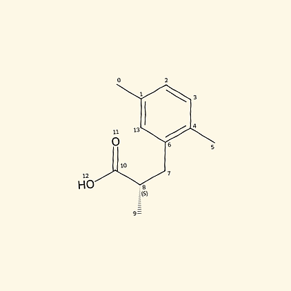 Cc1ccc(C)c(C[C@H](C)C(=O)O)c1